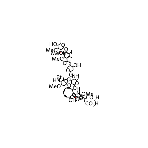 CCN[C@H]1CO[C@@H](O[C@H]2[C@H](O[C@H]3C#CC=CC#C[C@]4(O)CC(=O)C(NC(=O)OC)=C3/C4=C\CSSC(CC(=O)O)C(=O)O)O[C@H](C)[C@@H](NO[C@H]3C[C@H](O)[C@H](SC(=O)c4c(C)c(I)c(O[C@@H]5O[C@@H](C)[C@H](O)[C@@H](OC)[C@H]5O)c(OC)c4OC)[C@@H](C)O3)[C@@H]2O)C[C@@H]1OC